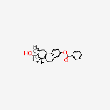 C[C@]12CCC3=C(CCc4cc(OC(=O)c5ccccc5)ccc43)[C@@H]1CCC2O